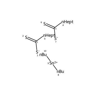 CCCCCCCC(=S)[S-].CCCCCCCC(=S)[S-].CCC[CH2][Sn+2][CH2]CCC